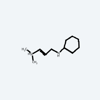 C[SiH](C)C=CCNC1CCCCC1